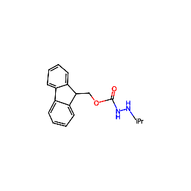 CC(C)NNC(=O)OCC1c2ccccc2-c2ccccc21